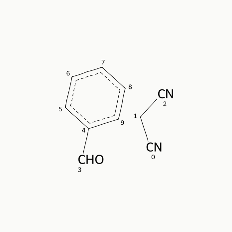 N#CCC#N.O=Cc1ccccc1